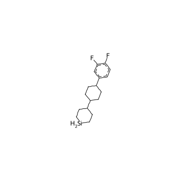 Fc1ccc(C2CCC(C3CC[SiH2]CC3)CC2)cc1F